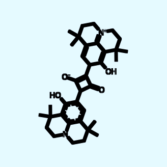 CC1(C)CC[N+]2=C3C1=CC(C1=C([O-])C(c4cc5c6c(c4O)C(C)(C)CCN6CCC5(C)C)C1=O)C(O)=C3C(C)(C)CC2